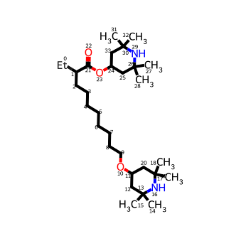 CCC(CCCCCCCCOC1CC(C)(C)NC(C)(C)C1)C(=O)OC1CC(C)(C)NC(C)(C)C1